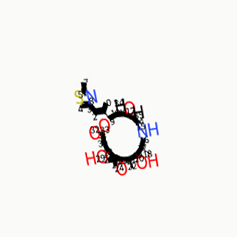 CC(=Cc1csc(C)n1)[C@@H]1C[C@@H]2O[C@H]2CNC[C@H](C)[C@H](O)[C@@H](C)C(=O)C(C)(C)[C@@H](O)CC(=O)O1